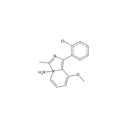 COC1=CC=C[N+]2(N)C(C)=NC(c3ccccc3Cl)=C12